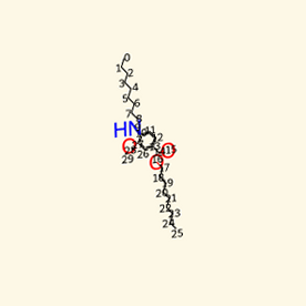 CCCCCCCCCNc1ccc(C(=O)OCCCCCCCCC)cc1OC